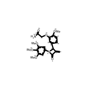 C=C1C(=O)N(c2cc(OC)c(OC)c(OC)c2)C1c1ccc(OC)c(OCC(N)=O)c1